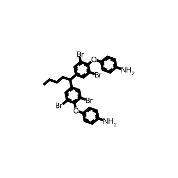 CCCCC(c1cc(Br)c(Oc2ccc(N)cc2)c(Br)c1)c1cc(Br)c(Oc2ccc(N)cc2)c(Br)c1